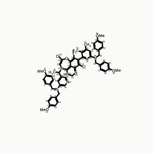 COc1ccc(CN(Cc2ccc(OC)cc2)c2cncc(C(C)N3C=C(Cl)Oc4c(F)c(-c5nc(N(Cc6ccc(OC)cc6)Cc6ccc(OC)cc6)cc(C)c5C(F)(F)F)c(Cl)c5c4=C3NCN=5)c2)cc1